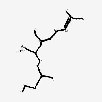 CCCC(C)CCC(O)C(C)CCC=C(C)C